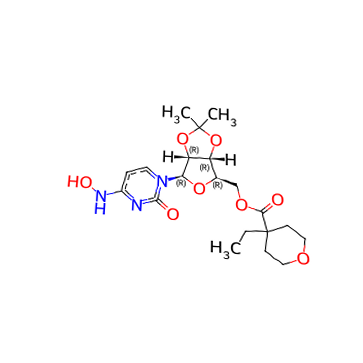 CCC1(C(=O)OC[C@H]2O[C@@H](n3ccc(NO)nc3=O)[C@@H]3OC(C)(C)O[C@@H]32)CCOCC1